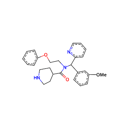 COc1cccc(C(c2ccccn2)N(CCOc2ccccc2)C(=O)C2CCNCC2)c1